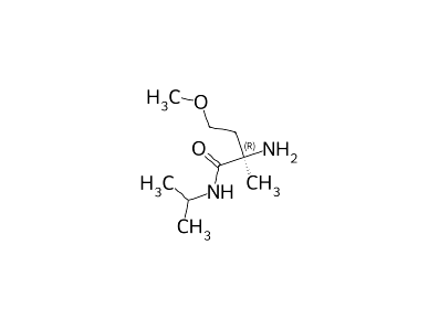 COCC[C@@](C)(N)C(=O)NC(C)C